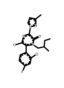 CCC(C)Cn1c(-c2ccc(F)cc2Cl)c(Cl)nc(-n2ccc(C)n2)c1=O